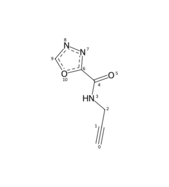 C#CCNC(=O)c1nnco1